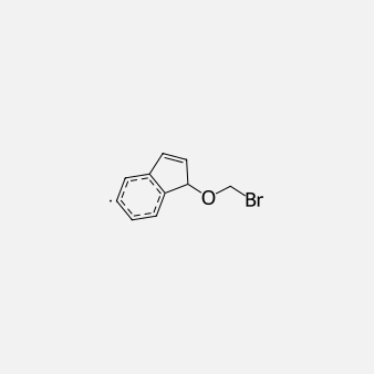 BrCOC1C=Cc2c[c]ccc21